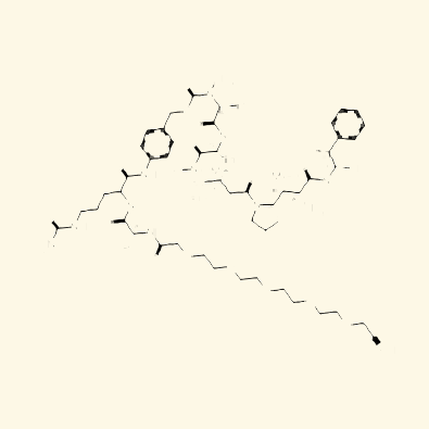 C#CCOCCOCCOCCOCCOCC(=O)N[C@@H](C(=O)NC(CCCNC(N)=O)C(=O)Nc1ccc(COC(=O)N(C)[C@H](C(=O)N[C@H](C(=O)N(C)[C@@H]([C@@H](C)CC)[C@@H](CC(=O)N2CCC[C@H]2[C@H](OC)[C@@H](C)C(=O)N[C@H](C)[C@@H](O)c2ccccc2)OC)C(C)C)C(C)C)cc1)C(C)C